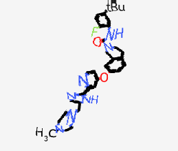 CN1CCN(Cc2cnc(-c3cc(Oc4ccc5c(c4)CN(C(=O)Nc4cc(C(C)(C)C)ccc4F)CC5)ccn3)[nH]2)CC1